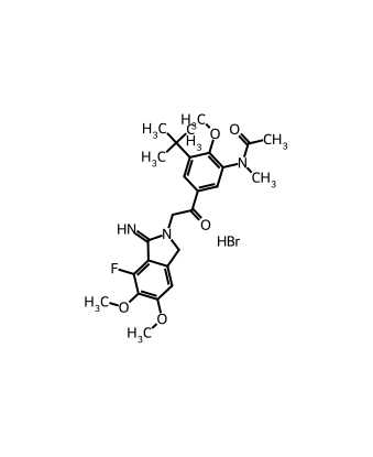 Br.COc1cc2c(c(F)c1OC)C(=N)N(CC(=O)c1cc(N(C)C(C)=O)c(OC)c(C(C)(C)C)c1)C2